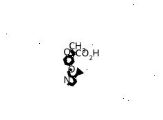 Cc1oc2ccc(OCc3ncccc3C3CC3)cc2c1C(=O)O